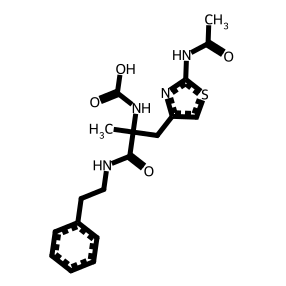 CC(=O)Nc1nc(CC(C)(NC(=O)O)C(=O)NCCc2ccccc2)cs1